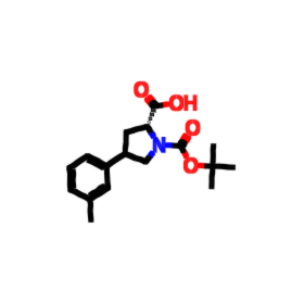 Cc1cccc(C2C[C@H](C(=O)O)N(C(=O)OC(C)(C)C)C2)c1